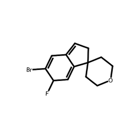 FC1C=C2C(=CCC23CCOCC3)C=C1Br